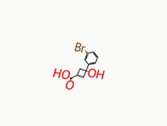 O=C(O)C1CC(O)(c2cccc(Br)c2)C1